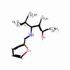 CC(O)C(C(=O)O)C(NCc1ccco1)C(C)C(=O)O